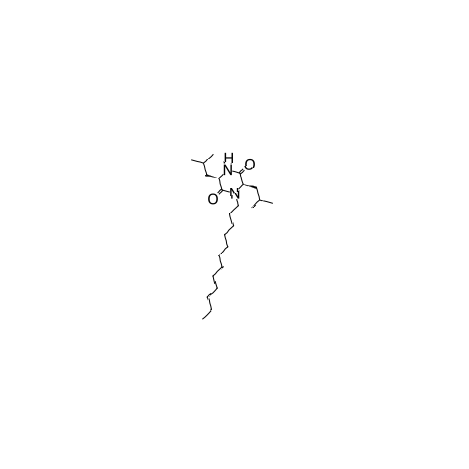 CCCCCCCCCCCCN1C(=O)[C@@H](CC(C)C)NC(=O)[C@H]1CC(C)C